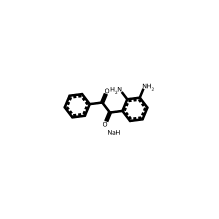 Nc1cccc(C(=O)C(=O)c2ccccc2)c1N.[NaH]